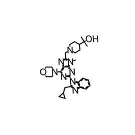 Cn1c(CN2CCC(C(C)(C)O)CC2)nc2c(N3CCOCC3)nc(-n3c(CC4CC4)nc4ccccc43)nc21